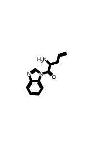 C=CCC(N)C(=O)n1cnc2ccccc21